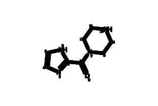 O=C(c1ncc[nH]1)N1CCNCC1